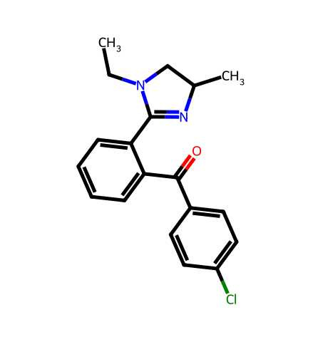 CCN1CC(C)N=C1c1ccccc1C(=O)c1ccc(Cl)cc1